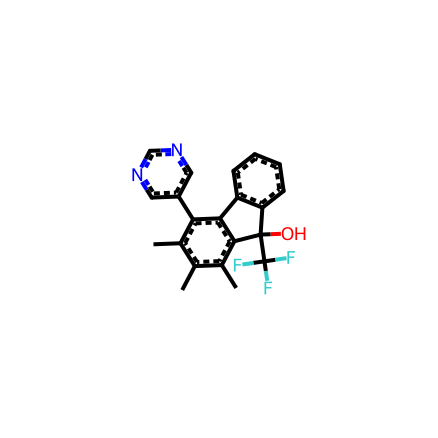 Cc1c(C)c(-c2cncnc2)c2c(c1C)C(O)(C(F)(F)F)c1ccccc1-2